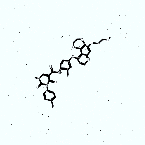 COCCOc1cc2nccc(Oc3ccc(NC(=O)c4cn(C)c(=O)n(-c5ccc(F)cc5)c4=O)c(F)c3)c2c2c1OCCO2